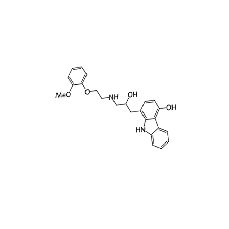 COc1ccccc1OCCNCC(O)Cc1ccc(O)c2c1[nH]c1ccccc12